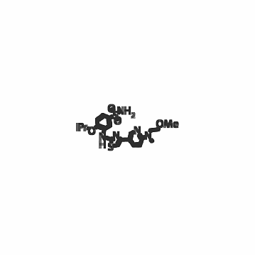 COCCN(C)c1ccc(-c2csc(Nc3cc(S(N)(=O)=O)ccc3OC(C)C)n2)cn1